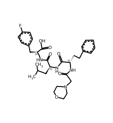 CC(C)C[C@H](NC(=O)[C@H](CCc1ccccc1)NC(=O)CN1CCOCC1)C(=O)N[C@@H](Cc1ccc(F)cc1)C(=O)O